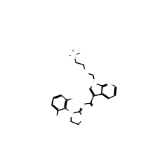 C[Si](C)(C)CCOCn1cc(C(=O)/N=C2\SCCN2c2c(O)cccc2Cl)c2cccnc21